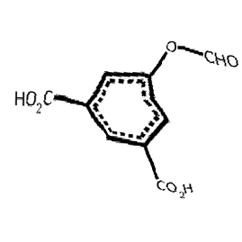 O=COc1cc(C(=O)O)cc(C(=O)O)c1